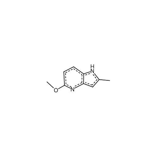 COc1ccc2[nH]c(C)cc2n1